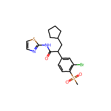 CS(=O)(=O)c1ccc(C(CC2CCCC2)C(=O)Nc2nccs2)cc1Br